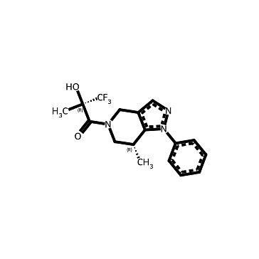 C[C@@H]1CN(C(=O)[C@@](C)(O)C(F)(F)F)Cc2cnn(-c3ccccc3)c21